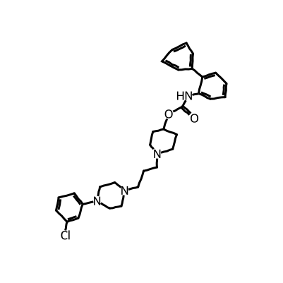 O=C(Nc1ccccc1-c1ccccc1)OC1CCN(CCCN2CCN(c3cccc(Cl)c3)CC2)CC1